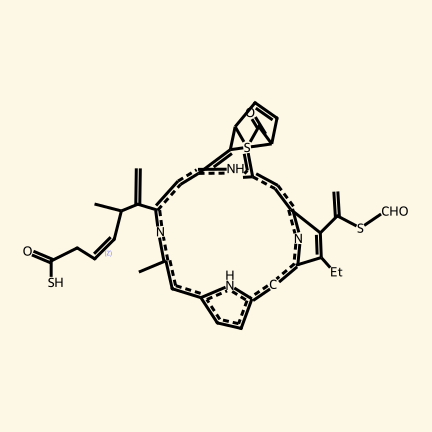 C=C(SC=O)C1=C(CC)c2cc3ccc(cc(C)nc(C(=C)C(C)/C=C\CC(=O)S)cc4[nH]c(cc1n2)=S125C(=O)C1C=CC2C=45)[nH]3